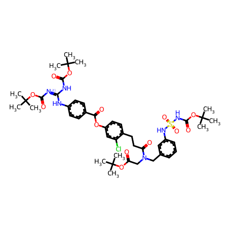 CC(C)(C)OC(=O)CN(Cc1cccc(NS(=O)(=O)NC(=O)OC(C)(C)C)c1)C(=O)CCc1ccc(OC(=O)c2ccc(N/C(=N\C(=O)OC(C)(C)C)NC(=O)OC(C)(C)C)cc2)cc1Cl